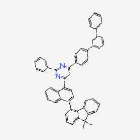 CC1(C)c2ccccc2-c2c(-c3ccc(-c4cc(-c5ccc(-c6cccc(-c7ccccc7)c6)cc5)nc(-c5ccccc5)n4)c4ccccc34)cccc21